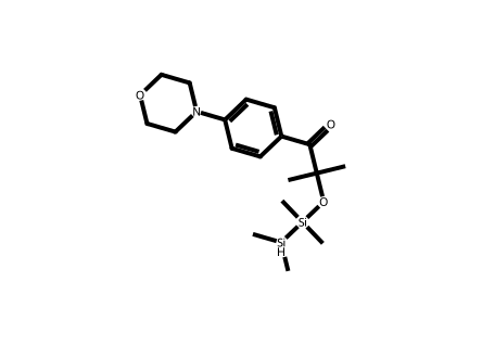 C[SiH](C)[Si](C)(C)OC(C)(C)C(=O)c1ccc(N2CCOCC2)cc1